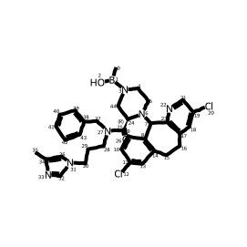 CB(O)N1CCN(C2c3ccc(Cl)cc3CCc3cc(Cl)cnc32)[C@@H](C(=O)N(CCCn2cnc(C)c2)Cc2ccccc2)C1